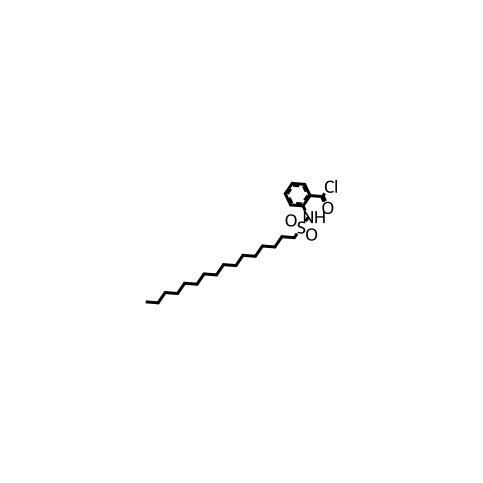 CCCCCCCCCCCCCCCCS(=O)(=O)Nc1ccccc1C(=O)Cl